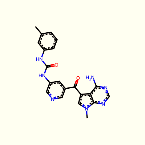 Cc1cccc(NC(=O)Nc2cncc(C(=O)c3cn(C)c4ncnc(N)c34)c2)c1